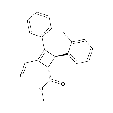 COC(=O)[C@@H]1C(C=O)=C(c2ccccc2)[C@H]1c1ccccc1C